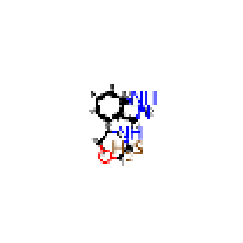 C1COCCN1.S.c1ccc2[nH]ncc2c1